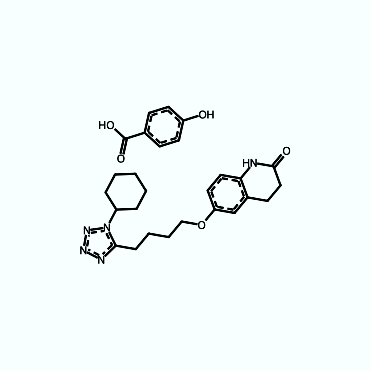 O=C(O)c1ccc(O)cc1.O=C1CCc2cc(OCCCCc3nnnn3C3CCCCC3)ccc2N1